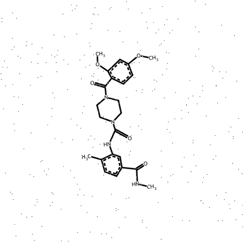 CNC(=O)c1ccc(C)c(NC(=O)N2CCN(C(=O)c3ccc(OC)cc3OC)CC2)c1